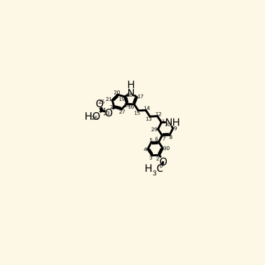 COc1cccc(C2=CCNC(CCCCc3c[nH]c4ccc(OC(=O)O)cc34)C2)c1